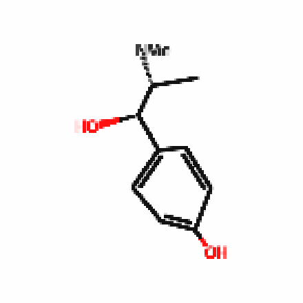 CN[C@H](C)[C@H](O)c1ccc(O)cc1